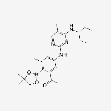 CCC(CC)Nc1nc(Nc2cc(C)c(B3OCC(C)(C)O3)c(C(C)=O)c2)ncc1C